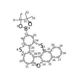 CC1(C)OB(c2cc3sc4ccc5oc6cc7ccccc7c7sc(c2)c3c4c5c67)OC1(C)C